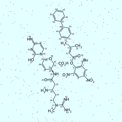 CCC(C)c1cc([N+](=O)[O-])cc([N+](=O)[O-])c1OC(=O)C=C(C)C.CN(CCC(N)CC(=O)N[C@H]1C=C[C@H](n2ccc(=N)nc2O)O[C@@H]1C(=O)O)C(=N)N.c1ccc(-c2ccccc2)cc1